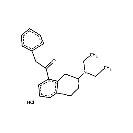 CCN(CC)C1CCc2cccc(C(=O)Cc3ccccc3)c2C1.Cl